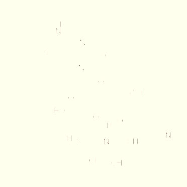 CC[C@H]1O[C@@H](n2cc3c(nc2=O)Nc2ccccc2O3)C(OC)[C@H]1OP(OCCC#N)N(C(C)C)C(C)C